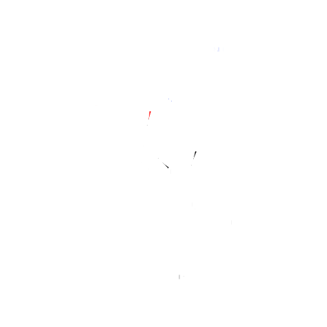 CC(C)CCC[C@@H](C)[C@H]1CC[C@H]2[C@@H]3CC(NCCCN)[C@@]4(O)CC(O)CC[C@]4(C)[C@H]3CC[C@]12C